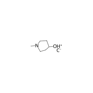 [CH2-][OH+]C1CCN(C)CC1